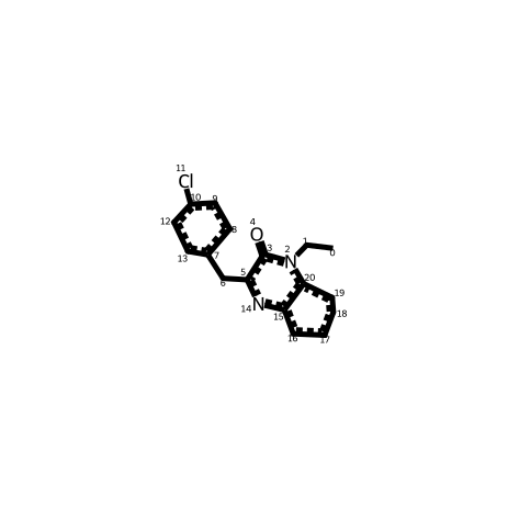 CCn1c(=O)c(Cc2ccc(Cl)cc2)nc2ccccc21